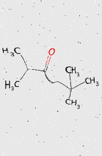 CC(C)C(=O)CC(C)(C)C